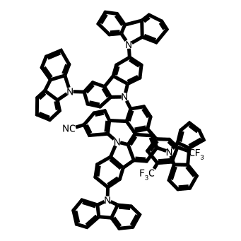 N#Cc1ccc(-c2cc(-c3cc(C(F)(F)F)cc(C(F)(F)F)c3)ccc2-n2c3ccc(-n4c5ccccc5c5ccccc54)cc3c3cc(-n4c5ccccc5c5ccccc54)ccc32)c(-n2c3ccc(-n4c5ccccc5c5ccccc54)cc3c3cc(-n4c5ccccc5c5ccccc54)ccc32)c1